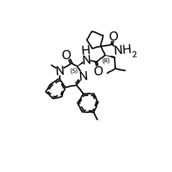 Cc1ccc(C2=N[C@H](NC(=O)[C@H](CC(C)C)C3(C(N)=O)CCCC3)C(=O)N(C)c3ccccc32)cc1